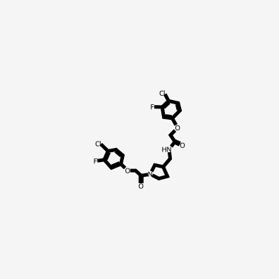 O=C(COc1ccc(Cl)c(F)c1)NCC1CCN(C(=O)COc2ccc(Cl)c(F)c2)C1